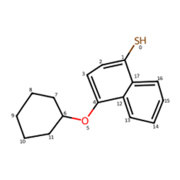 Sc1ccc(OC2CCCCC2)c2ccccc12